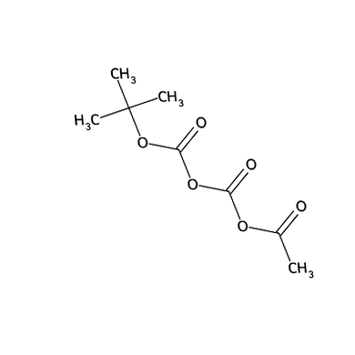 CC(=O)OC(=O)OC(=O)OC(C)(C)C